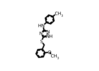 COc1ccccc1CSc1nc(Nc2ccc(C)cc2)n[nH]1